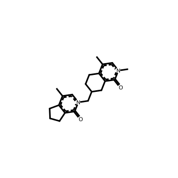 Cc1cn(C)c(=O)c2c1CCC(Cn1cc(C)c3c(c1=O)CCC3)C2